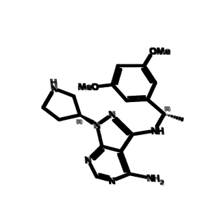 COc1cc(OC)cc([C@H](C)Nc2nn([C@H]3CCNC3)c3ncnc(N)c23)c1